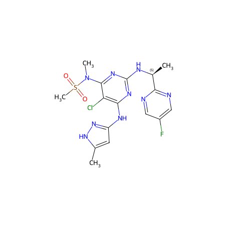 Cc1cc(Nc2nc(N[C@@H](C)c3ncc(F)cn3)nc(N(C)S(C)(=O)=O)c2Cl)n[nH]1